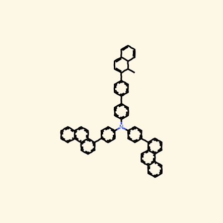 CC1C(c2ccc(-c3ccc(N(c4ccc(-c5cccc6c5ccc5ccccc56)cc4)c4ccc(-c5cccc6c5ccc5ccccc56)cc4)cc3)cc2)=CC=C2C=CC=CC21